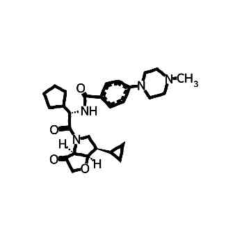 CN1CCN(c2ccc(C(=O)N[C@H](C(=O)N3C[C@@H](C4CC4)[C@H]4OCC(=O)[C@H]43)C3CCCC3)cc2)CC1